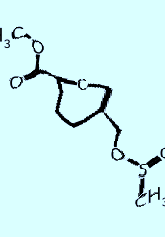 COC(=O)[C@H]1CC[C@@H](COS(C)=O)CC1